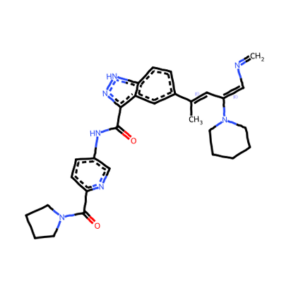 C=N/C=C(\C=C(/C)c1ccc2[nH]nc(C(=O)Nc3ccc(C(=O)N4CCCC4)nc3)c2c1)N1CCCCC1